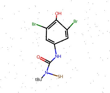 CC(C)(C)N(S)C(=O)Nc1cc(Br)c(O)c(Br)c1